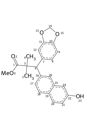 COC(=O)C(C)(C)C(c1ccc2c(c1)OCO2)c1ccc2ccc(O)cc2c1